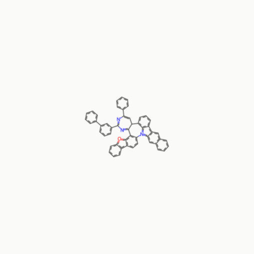 C1=C(c2ccccc2)N=C(c2cccc(-c3ccccc3)c2)N=C2c3c(ccc4c3oc3ccccc34)-n3c4cc5ccccc5cc4c4cccc(c43)C12